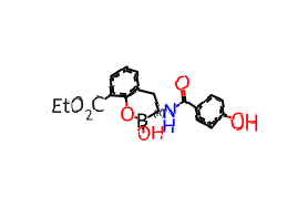 CCOC(=O)c1cccc2c1OB(O)[C@@H](NC(=O)c1ccc(O)cc1)C2